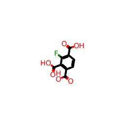 O=C(O)c1ccc(C(=O)O)c(C(=O)O)c1F